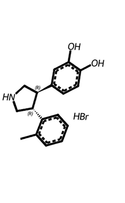 Br.Cc1ccccc1[C@@H]1CNC[C@H]1c1ccc(O)c(O)c1